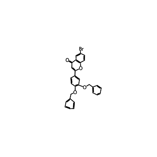 O=c1cc(-c2ccc(OCc3ccccc3)c(OCc3ccccc3)c2)oc2ccc(Br)cc12